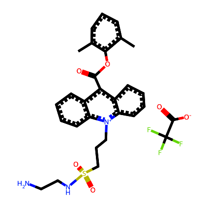 Cc1cccc(C)c1OC(=O)c1c2ccccc2[n+](CCCS(=O)(=O)NCCN)c2ccccc12.O=C([O-])C(F)(F)F